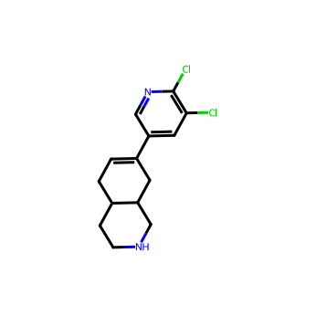 Clc1cc(C2=CCC3CCNCC3C2)cnc1Cl